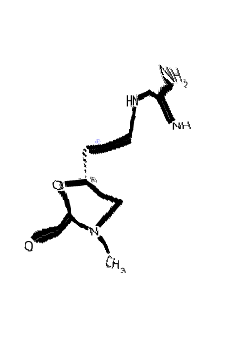 CN1C[C@@H](/C=C/NC(=N)N)OC1=O